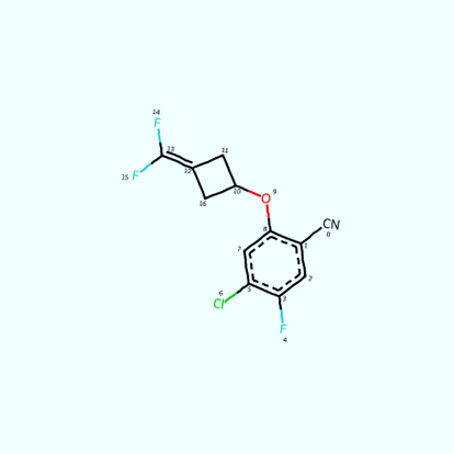 N#Cc1cc(F)c(Cl)cc1OC1CC(=C(F)F)C1